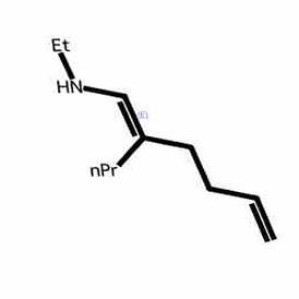 C=CCC/C(=C/NCC)CCC